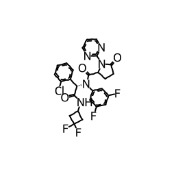 O=C(NC1CC(F)(F)C1)[C@H](c1ccccc1Cl)N(C(=O)C1CCC(=O)N1c1ncccn1)c1cc(F)cc(F)c1